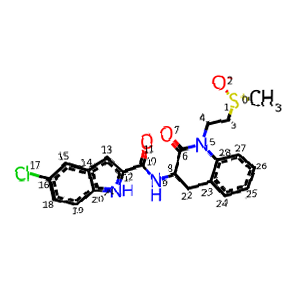 C[S+]([O-])CCN1C(=O)C(NC(=O)c2cc3cc(Cl)ccc3[nH]2)Cc2ccccc21